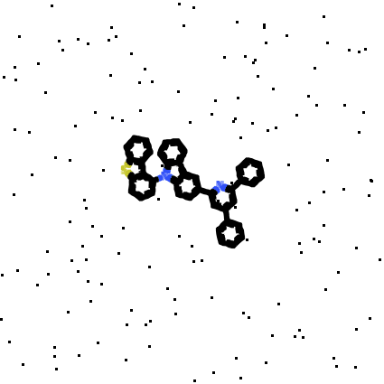 c1ccc(-c2cc(-c3ccccc3)nc(-c3ccc4c(c3)c3ccccc3n4-c3cccc4sc5ccccc5c34)c2)cc1